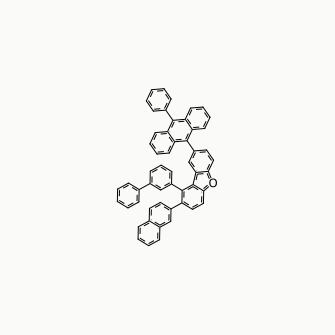 c1ccc(-c2cccc(-c3c(-c4ccc5ccccc5c4)ccc4oc5ccc(-c6c7ccccc7c(-c7ccccc7)c7ccccc67)cc5c34)c2)cc1